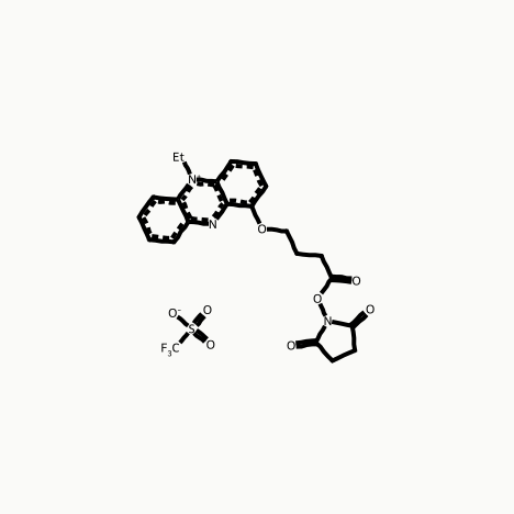 CC[n+]1c2ccccc2nc2c(OCCCC(=O)ON3C(=O)CCC3=O)cccc21.O=S(=O)([O-])C(F)(F)F